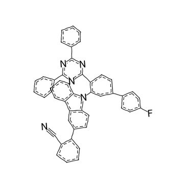 N#Cc1ccccc1-c1ccc2c(c1)c1ccccc1n2-c1cc(-c2ccc(F)cc2)ccc1-c1nc(-c2ccccc2)nc(-c2ccccc2)n1